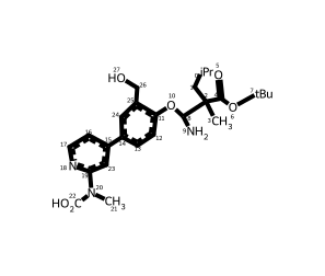 CC(C)CC(C)(C(=O)OC(C)(C)C)C(N)Oc1ccc(-c2ccnc(N(C)C(=O)O)c2)cc1CO